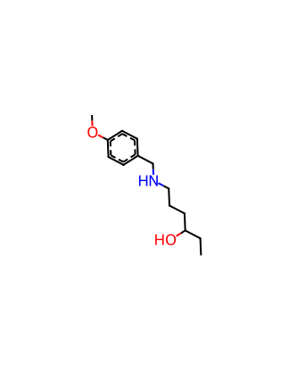 CCC(O)CCCNCc1ccc(OC)cc1